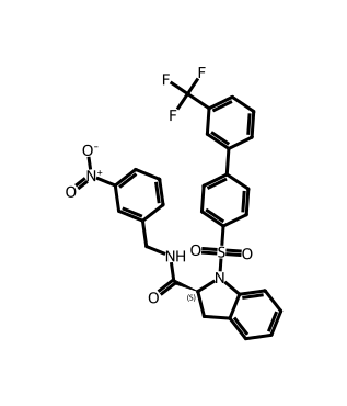 O=C(NCc1cccc([N+](=O)[O-])c1)[C@@H]1Cc2ccccc2N1S(=O)(=O)c1ccc(-c2cccc(C(F)(F)F)c2)cc1